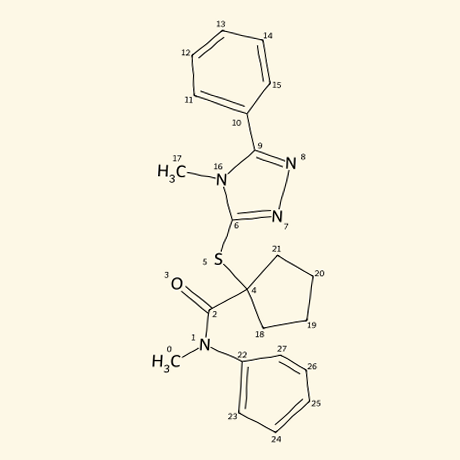 CN(C(=O)C1(Sc2nnc(-c3ccccc3)n2C)CCCC1)c1ccccc1